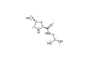 O=C(NCC(O)O)[C@@H]1C[C@H](S(=O)(=O)O)CN1